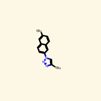 CC(C)(C)c1ccc2cc(-n3cc(C(C)(C)C)nn3)ccc2c1